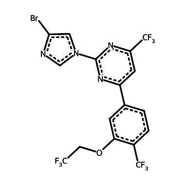 FC(F)(F)COc1cc(-c2cc(C(F)(F)F)nc(-n3cnc(Br)c3)n2)ccc1C(F)(F)F